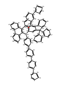 c1ccc(-c2ccc(-c3ccc(-c4ccc(N(c5ccc6c(c5)C(c5ccccc5)(c5ccccc5)c5ccccc5-6)c5c(-c6ccc7cc(-c8ccccc8)ccc7c6)c6ccccc6c6ccccc56)cc4)cc3)cc2)cc1